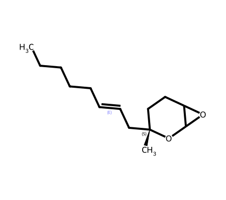 CCCCC/C=C/C[C@]1(C)CCC2OC2O1